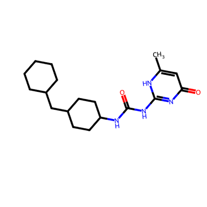 Cc1cc(=O)nc(NC(=O)NC2CCC(CC3CCCCC3)CC2)[nH]1